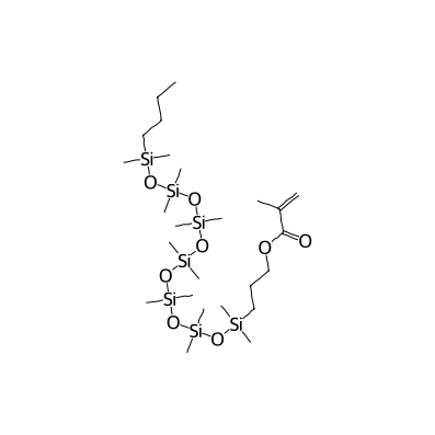 C=C(C)C(=O)OCCC[Si](C)(C)O[Si](C)(C)O[Si](C)(C)O[Si](C)(C)O[Si](C)(C)O[Si](C)(C)O[Si](C)(C)CCCC